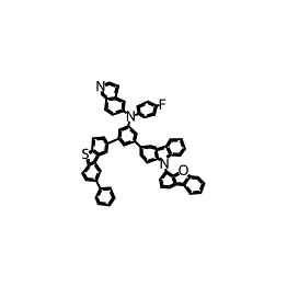 Fc1ccc(N(c2cc(-c3ccc4sc5ccc(-c6ccccc6)cc5c4c3)cc(-c3ccc4c(c3)c3ccccc3n4-c3cccc4c3oc3ccccc34)c2)c2ccc3cnccc3c2)cc1